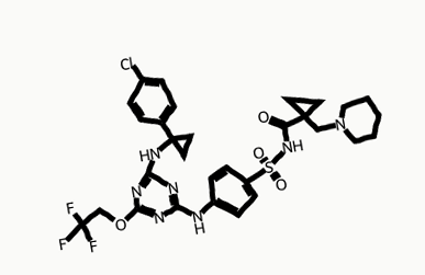 O=C(NS(=O)(=O)c1ccc(Nc2nc(NC3(c4ccc(Cl)cc4)CC3)nc(OCC(F)(F)F)n2)cc1)C1(CN2CCCCC2)CC1